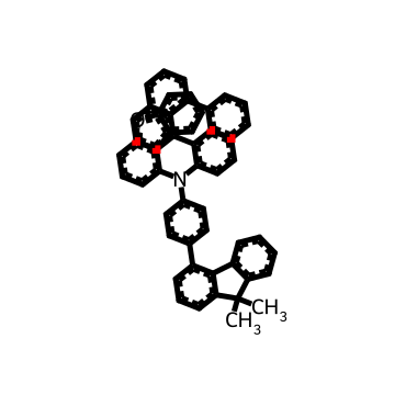 CC1(C)c2ccccc2-c2c(-c3ccc(N(c4ccccc4-c4cccc5cccc(-c6ccccc6)c45)c4cccc5oc6ccccc6c45)cc3)cccc21